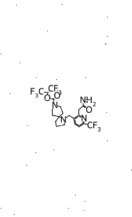 NC(=O)Cc1nc(C(F)(F)F)ccc1CN1CCCC12CCN(C(=O)OC(C(F)(F)F)C(F)(F)F)CC2